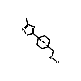 Cc1noc(C23CCC(CNCl)(CC2)CC3)n1